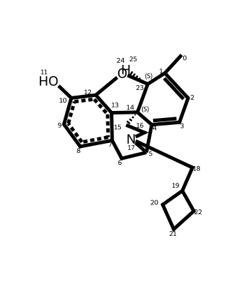 CC1=CC=C2C3Cc4ccc(O)c5c4[C@@]2(CCN3CC2CCC2)[C@H]1O5